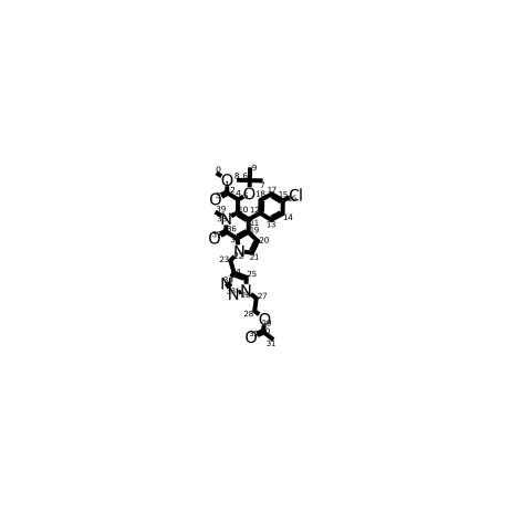 COC(=O)C(OC(C)(C)C)c1c(-c2ccc(Cl)cc2)c2ccn(Cc3cn(CCOC(C)=O)nn3)c2c(=O)n1C